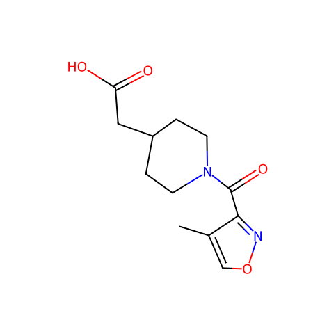 Cc1conc1C(=O)N1CCC(CC(=O)O)CC1